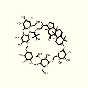 C[C@H](CC[C@@H](O[C@@H]1O[C@H](CO[C@@H]2O[C@H](CO)[C@@H](O)[C@H](O)[C@H]2O)[C@@H](O)[C@H](O)[C@H]1O[C@@H]1O[C@H](CO)[C@@H](O)[C@H](O)[C@H]1O)C(C)(C)O)[C@H]1CC[C@@]2(C)[C@@H]3CC=C4[C@@H](CC[C@H](O[C@@H]5O[C@H](CO[C@@H]6O[C@H](CO)[C@@H](O)[C@H](O)[C@H]6O)[C@@H](O)[C@H](O)[C@H]5O)C4(C)C)[C@]3(C)C(=O)C[C@]12C